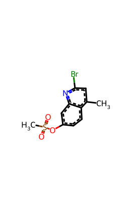 Cc1cc(Br)nc2cc(OS(C)(=O)=O)ccc12